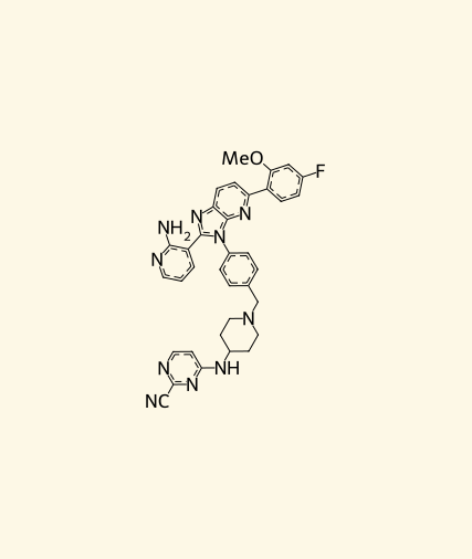 COc1cc(F)ccc1-c1ccc2nc(-c3cccnc3N)n(-c3ccc(CN4CCC(Nc5ccnc(C#N)n5)CC4)cc3)c2n1